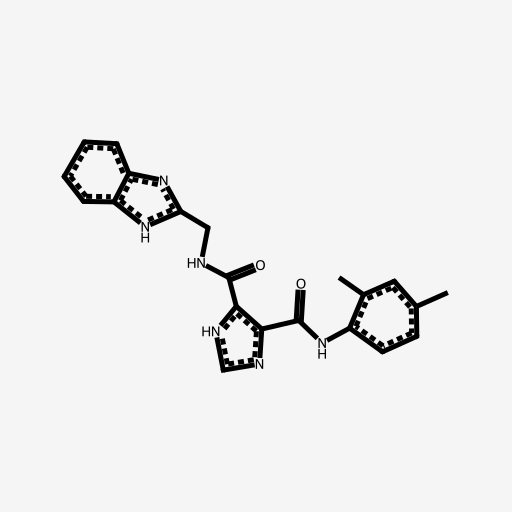 Cc1ccc(NC(=O)c2nc[nH]c2C(=O)NCc2nc3ccccc3[nH]2)c(C)c1